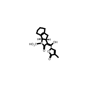 CC1=C[C@H](C(O)=C2C(=O)N(C(=O)O)[C@@H]3C4=C(CCCC4)C[C@H]23)OC1=O